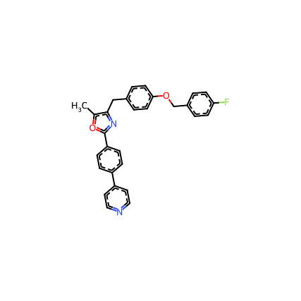 Cc1oc(-c2ccc(-c3ccncc3)cc2)nc1Cc1ccc(OCc2ccc(F)cc2)cc1